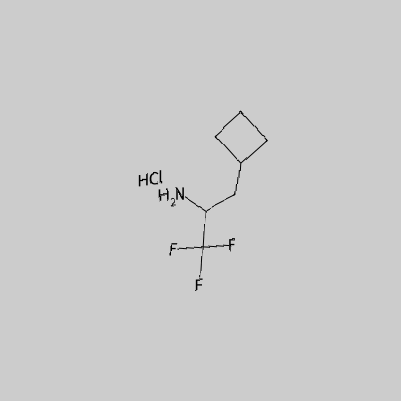 Cl.NC(CC1CCC1)C(F)(F)F